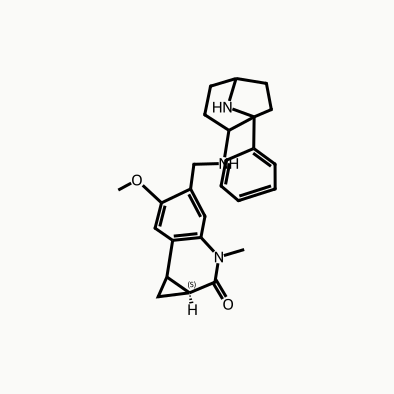 COc1cc2c(cc1CNC1CCC3CCC1(c1ccccc1)N3)N(C)C(=O)[C@H]1CC21